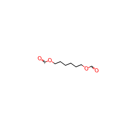 O=[C]OCCCCCCOC=O